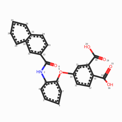 O=C(Nc1ccccc1Oc1ccc(C(=O)O)c(C(=O)O)c1)c1ccc2ccccc2c1